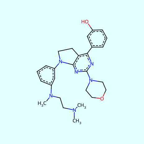 CN(C)CCN(C)c1cccc(N2CCc3c(-c4cccc(O)c4)nc(N4CCOCC4)nc32)c1